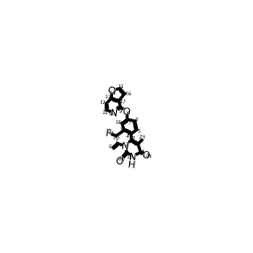 C=Cn1c(-c2ccc(Oc3nccc4occc34)cc2CF)c(C)c(=O)[nH]c1=O